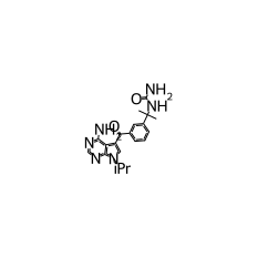 CC(C)n1cc(C(=O)c2cccc(C(C)(C)NC(N)=O)c2)c2c(N)ncnc21